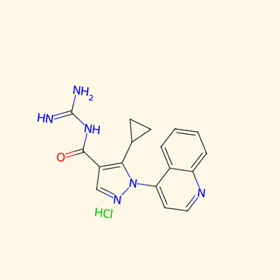 Cl.N=C(N)NC(=O)c1cnn(-c2ccnc3ccccc23)c1C1CC1